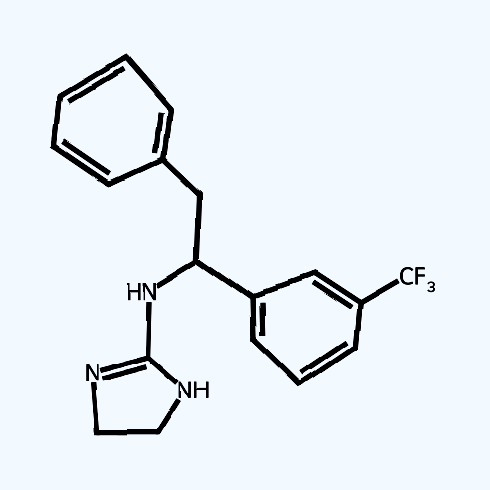 FC(F)(F)c1cccc(C(Cc2ccccc2)NC2=NCCN2)c1